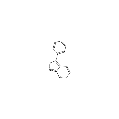 c1ccc(-c2snc3ccccc23)cc1